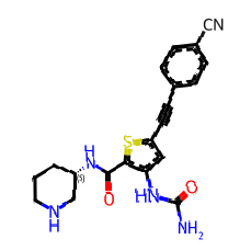 N#Cc1ccc(C#Cc2cc(NC(N)=O)c(C(=O)N[C@H]3CCCNC3)s2)cc1